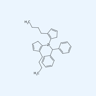 CCCCC1=[C]([Zr]([C]2=C(CCCC)C=CC2)[CH](c2ccccc2)c2ccccc2)CC=C1